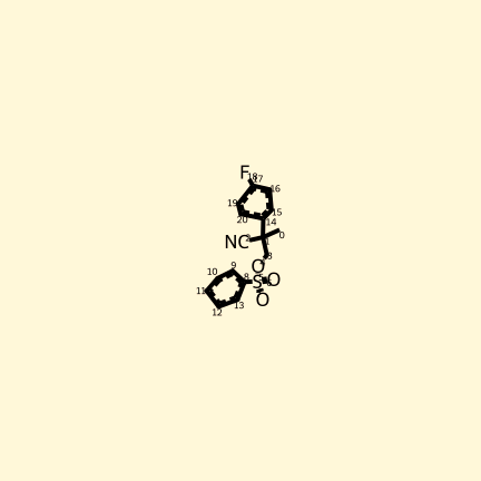 CC(C#N)(COS(=O)(=O)c1ccccc1)c1ccc(F)cc1